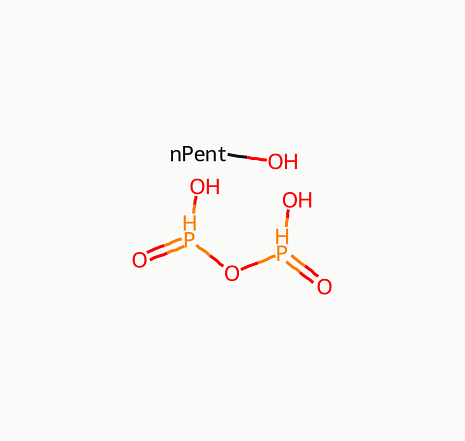 CCCCCO.O=[PH](O)O[PH](=O)O